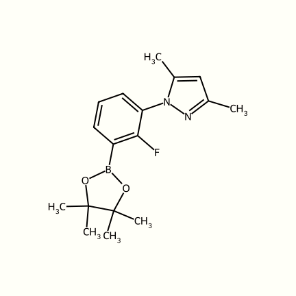 Cc1cc(C)n(-c2cccc(B3OC(C)(C)C(C)(C)O3)c2F)n1